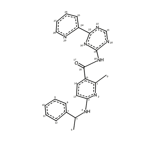 Cc1nc(NC(C)c2ccccc2)ccc1C(=O)Nc1ncnc(-c2ccccn2)n1